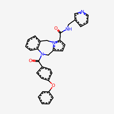 O=C(NCc1cccnc1)c1ccc2n1Cc1ccccc1N(C(=O)c1ccc(Oc3ccccc3)cc1)C2